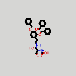 O=CC(NC(=O)O)[C@H](O)NCCc1ccc(OCc2ccccc2)c(OCc2ccccc2)c1OCc1ccccc1